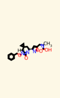 CN(Cc1cc([C@@H]2CC3(CC3)[C@@H]3CN2C(=O)N3OCc2ccccc2)no1)C(=O)O